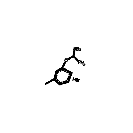 Br.CCCCC(P)Oc1cccc(C)c1